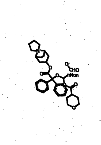 CCCCCCCCCC(OC(=O)C1CCOCC1)OC(C(=O)OC1CC2CCC(C1)[N+]21CCCC1)(c1ccccc1)c1ccccc1.O=C[O-]